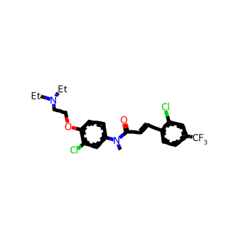 CCN(CC)CCOc1ccc(N(C)C(=O)/C=C/c2ccc(C(F)(F)F)cc2Cl)cc1Cl